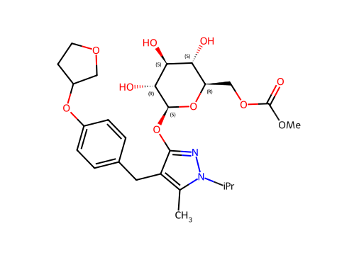 COC(=O)OC[C@H]1O[C@@H](Oc2nn(C(C)C)c(C)c2Cc2ccc(OC3CCOC3)cc2)[C@H](O)[C@@H](O)[C@@H]1O